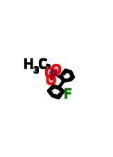 CCOP1(=O)Oc2cccc(F)c2-c2ccccc21